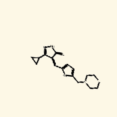 O=C1NN=C(C2CC2)/C1=C/c1ccc(CN2CCOCC2)[nH]1